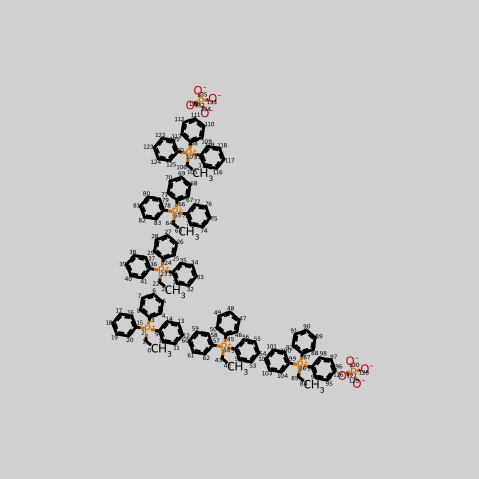 CC[P+](c1ccccc1)(c1ccccc1)c1ccccc1.CC[P+](c1ccccc1)(c1ccccc1)c1ccccc1.CC[P+](c1ccccc1)(c1ccccc1)c1ccccc1.CC[P+](c1ccccc1)(c1ccccc1)c1ccccc1.CC[P+](c1ccccc1)(c1ccccc1)c1ccccc1.CC[P+](c1ccccc1)(c1ccccc1)c1ccccc1.O=P([O-])([O-])[O-].O=P([O-])([O-])[O-]